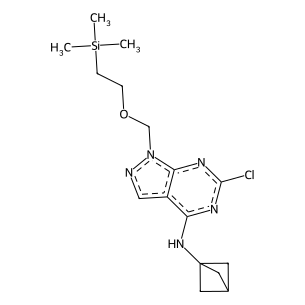 C[Si](C)(C)CCOCn1ncc2c(NC34CC(C3)C4)nc(Cl)nc21